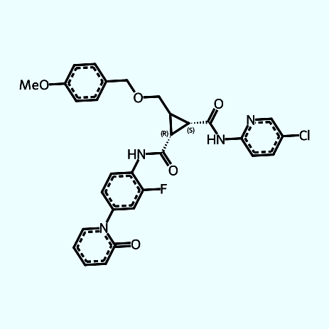 COc1ccc(COCC2[C@@H](C(=O)Nc3ccc(-n4ccccc4=O)cc3F)[C@H]2C(=O)Nc2ccc(Cl)cn2)cc1